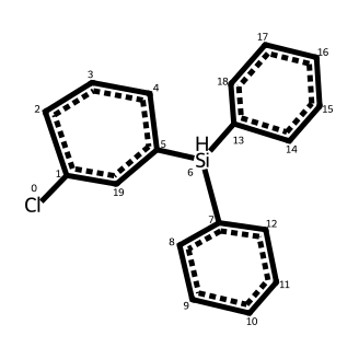 Clc1cccc([SiH](c2ccccc2)c2ccccc2)c1